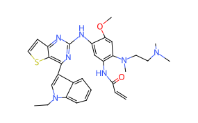 C=CC(=O)Nc1cc(Nc2nc(-c3cn(CC)c4ccccc34)c3sccc3n2)c(OC)cc1N(C)CCN(C)C